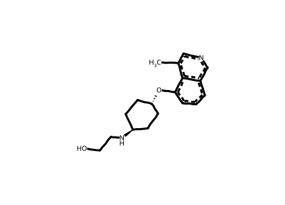 Cc1cncc2cccc(O[C@H]3CC[C@H](NCCO)CC3)c12